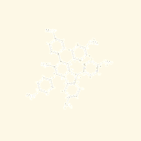 COc1ccc(-c2c(N)c(-c3ccc(OC)cc3)c3c4cc(N)ccc4n(-c4ccc(OC)cc4)c3c2-c2ccc(OC)cc2)cc1